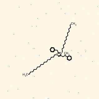 CCCCCCCCCCCCCCCCCn1cc(CC(C)c2ccccc2)[n+](CCCCCCCCCCCCCCC)c1Cc1ccccc1